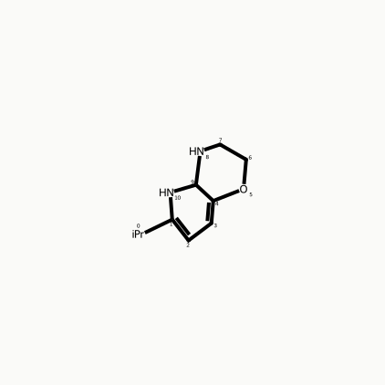 CC(C)C1=CC=C2OCCNC2N1